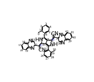 Cc1ccccc1-c1[nH]/c(=C(/C#N)c2cnc3ccccc3n2)c2c(-c3ccccc3C)[nH]/c(=C(/C#N)c3cnc4ccccc4n3)c12